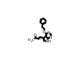 CC(=O)/C=C/c1c[nH]c2ncnc(OCCc3ccccc3)c12